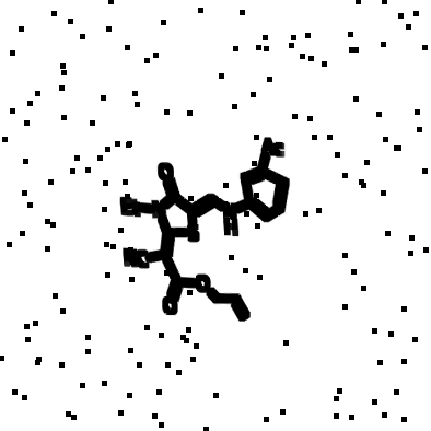 C=CCOC(=O)C(C#N)=c1sc(=CNc2cccc(C(C)=O)c2)c(=O)n1CC